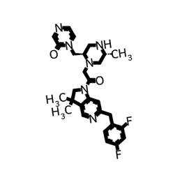 C[C@@H]1CN(CC(=O)N2CC(C)(C)c3cnc(Cc4ccc(F)cc4F)cc32)[C@@H](Cn2ccncc2=O)CN1